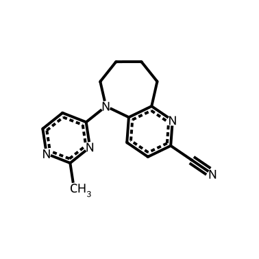 Cc1nccc(N2CCCCc3nc(C#N)ccc32)n1